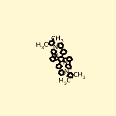 Cc1cc(C)cc(N(c2ccccc2)c2ccc3c4cccc5c6c(-c7ccccc7)c7c(c(-c8ccccc8)c6n(c3c2)c45)c2cccc3c4ccc(N(c5ccccc5)c5cc(C)cc(C)c5)cc4n7c32)c1